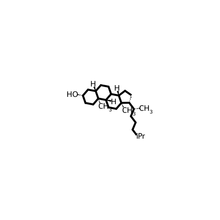 CC(C)CCC[C@@H](C)[C@H]1CC[C@H]2C3CC[C@H]4C[C@@H](O)CC[C@]4(C)[C@H]3CC[C@]12C